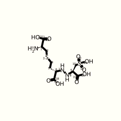 N[C@@H](CSCC[C@H](NN[C@@H](CS(=O)(=O)O)C(=O)O)C(=O)O)C(=O)O